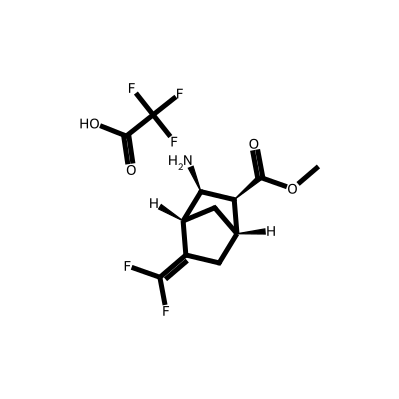 COC(=O)[C@H]1[C@@H]2CC(=C(F)F)[C@@H](C2)[C@H]1N.O=C(O)C(F)(F)F